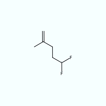 C=C(C)CC[C](F)F